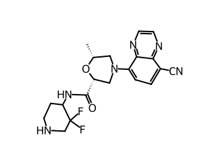 C[C@@H]1CN(c2ccc(C#N)c3nccnc23)C[C@H](C(=O)NC2CCNCC2(F)F)O1